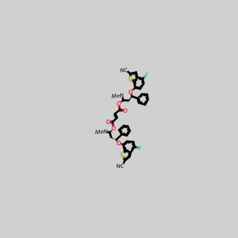 CNC(C[C@@H](Oc1ccc(F)c2cc(C#N)sc12)c1ccccc1)OC(=O)/C=C/C(=O)OC(C[C@@H](Oc1ccc(F)c2cc(C#N)sc12)c1ccccc1)NC